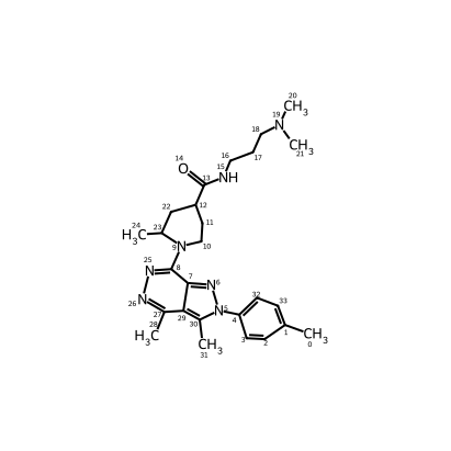 Cc1ccc(-n2nc3c(N4CCC(C(=O)NCCCN(C)C)CC4C)nnc(C)c3c2C)cc1